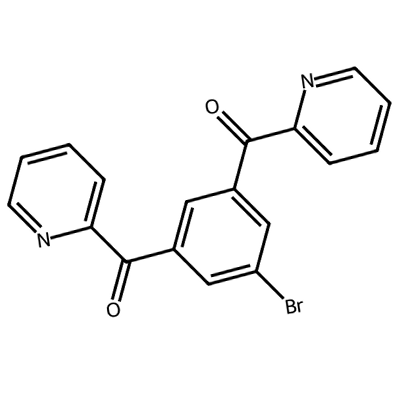 O=C(c1cc(Br)cc(C(=O)c2ccccn2)c1)c1ccccn1